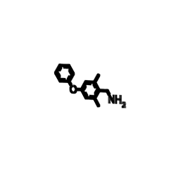 Cc1cc(Oc2ccccc2)cc(C)c1CN